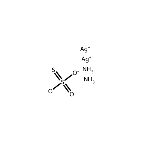 N.N.O=S([O-])([O-])=S.[Ag+].[Ag+]